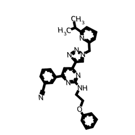 CC(C)c1cccc(Cn2cc(-c3cc(-c4cccc(C#N)c4)nc(NCCOc4ccccc4)n3)nn2)n1